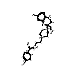 Cc1ccc2c(c1)OC(CO)(N1CCN(CCNC(=O)c3ccc(F)cc3)CC1)CO2